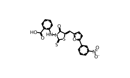 O=C(O)c1ccccc1NN1C(=O)C(=Cc2ccc(-c3cccc([N+](=O)[O-])c3)o2)SC1=S